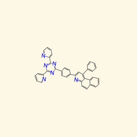 c1ccc(-c2cc(-c3ccc(-c4nc(-c5ccccn5)nc(-c5ccccn5)n4)cc3)nc3ccc4ccccc4c23)cc1